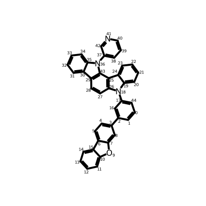 c1cc(-c2ccc3c(c2)oc2ccccc23)cc(-n2c3ccccc3c3c2ccc2c4ccccc4n(-c4cccnc4)c23)c1